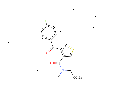 CCOC(=O)CN(C)C(=O)c1cscc1C(=O)c1ccc(F)cc1